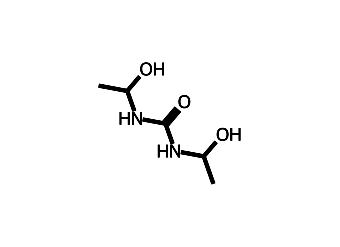 CC(O)NC(=O)NC(C)O